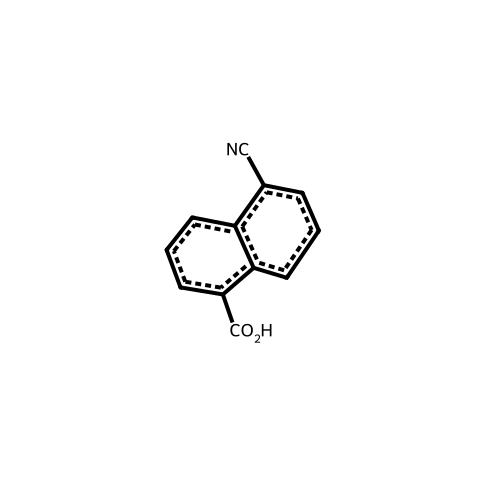 N#Cc1cccc2c(C(=O)O)cccc12